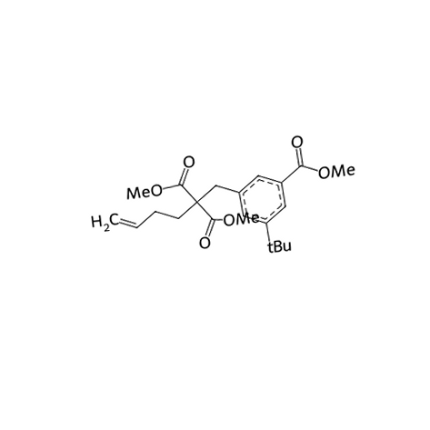 C=CCCC(Cc1cc(C(=O)OC)cc(C(C)(C)C)c1)(C(=O)OC)C(=O)OC